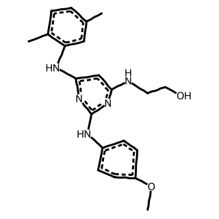 COc1ccc(Nc2nc(NCCO)cc(Nc3cc(C)ccc3C)n2)cc1